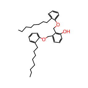 CCCCCCCCc1ccccc1OCc1cccc(O)c1COc1ccccc1CCCCCCCC